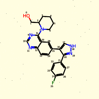 OCC1CCCCN1c1ncnc2ccc(-c3c[nH]nc3-c3ccc(F)cc3)cc12